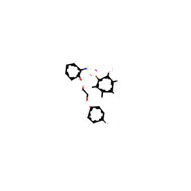 Cc1c(C)c(C)c(S(=O)(=O)Nc2ccccc2OCCOc2ccc(C(=O)O)cc2)c(C)c1C